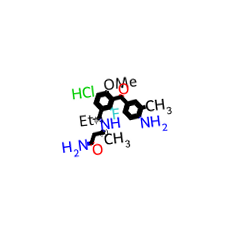 CC[C@@H](N[C@H](C)CC(N)=O)c1ccc(OC)c(C(=O)c2ccc(N)c(C)c2)c1F.Cl